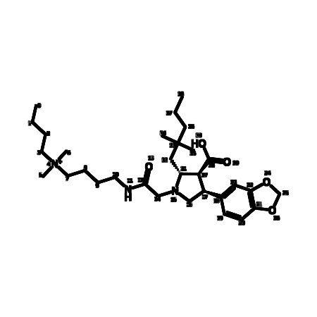 CCCC[N+](C)(C)CCCCNC(=O)CN1C[C@H](c2ccc3c(c2)OCO3)[C@H](C(=O)O)[C@H]1CC(C)(C)CCC